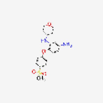 CS(=O)(=O)c1ccc(Oc2ccc(N)cc2NC2CCOCC2)cc1